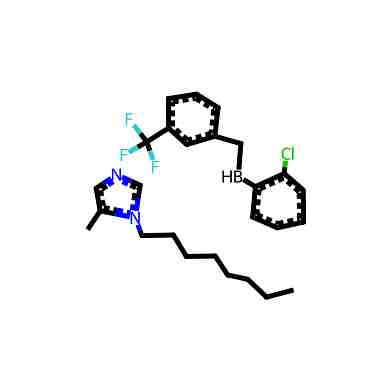 CCCCCCCCn1cncc1C.FC(F)(F)c1cccc(CBc2ccccc2Cl)c1